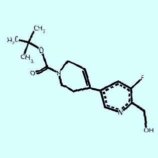 CC(C)(C)OC(=O)N1CC=C(c2cnc(CO)c(F)c2)CC1